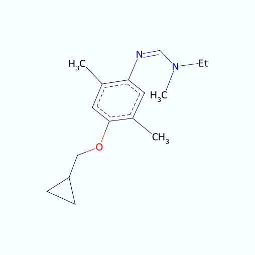 CCN(C)/C=N\c1cc(C)c(OCC2CC2)cc1C